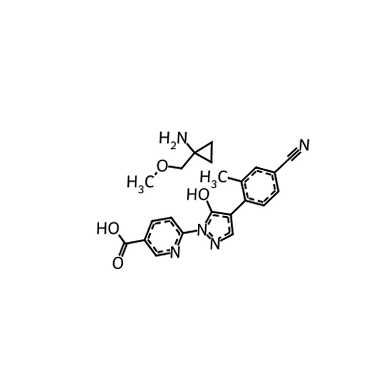 COCC1(N)CC1.Cc1cc(C#N)ccc1-c1cnn(-c2ccc(C(=O)O)cn2)c1O